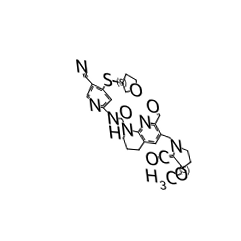 CO[C@H]1CCN(Cc2cc3c(nc2C=O)N(C(=O)Nc2cc(S[C@H]4CCOC4)c(C#N)cn2)CCC3)C1=C=O